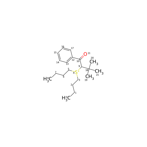 CCCC[S+](CCCC)C(C(=O)c1ccccc1)C(C)(C)C